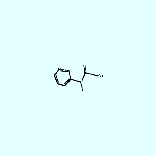 CN(C(=O)C(C)(C)C)c1cc[c]nc1